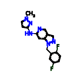 Cn1ccc(Nc2cc3c(cn2)cnn3Cc2cc(F)ccc2F)n1